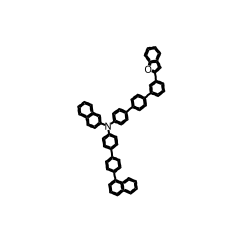 c1cc(-c2ccc(-c3ccc(N(c4ccc(-c5ccc(-c6cccc7ccccc67)cc5)cc4)c4ccc5ccccc5c4)cc3)cc2)cc(-c2cc3ccccc3o2)c1